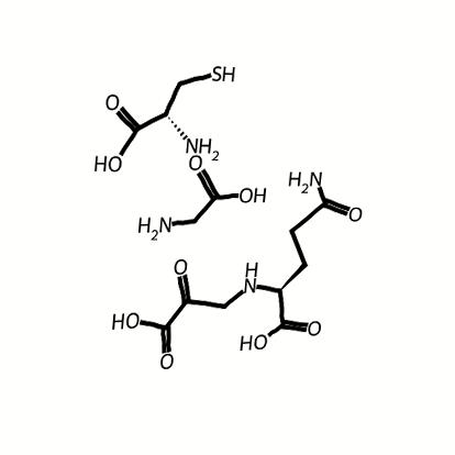 NC(=O)CC[C@H](NCC(=O)C(=O)O)C(=O)O.NCC(=O)O.N[C@@H](CS)C(=O)O